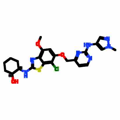 COc1cc(OCc2ccnc(Nc3cnn(C)c3)n2)c(Cl)c2sc(N[C@H]3CCCC[C@@H]3O)nc12